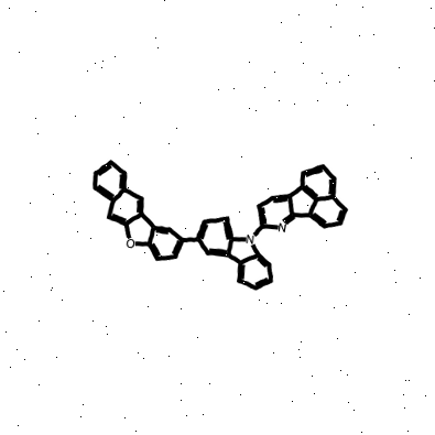 c1ccc2cc3c(cc2c1)oc1ccc(-c2ccc4c(c2)c2ccccc2n4-c2ccc4c(n2)-c2cccc5cccc-4c25)cc13